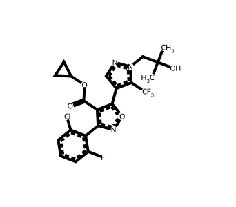 CC(C)(O)Cn1ncc(-c2onc(-c3c(F)cccc3Cl)c2C(=O)OC2CC2)c1C(F)(F)F